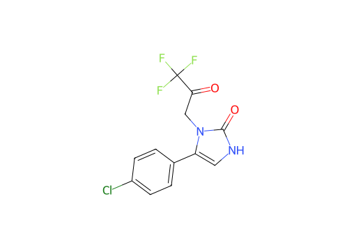 O=C(Cn1c(-c2ccc(Cl)cc2)c[nH]c1=O)C(F)(F)F